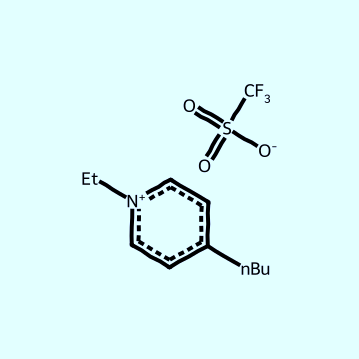 CCCCc1cc[n+](CC)cc1.O=S(=O)([O-])C(F)(F)F